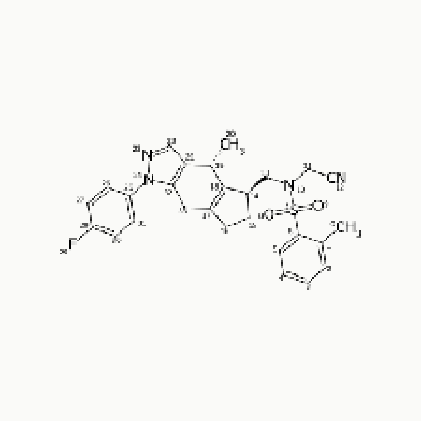 Cc1ccccc1S(=O)(=O)N(CC#N)C[C@H]1CCC2=C1[C@@H](C)c1cnn(-c3ccc(F)cc3)c1C2